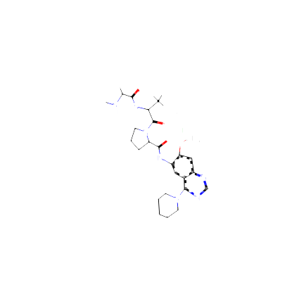 CNC(C)C(=O)NC(C(=O)N1CCCC1C(=O)Nc1cc2c(N3CCCCC3)ncnc2cc1OC)C(C)(C)C.Cl